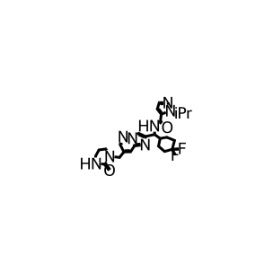 CC(C)n1nccc1C(=O)NC(c1cn2ncc(CN3CCCNC3=O)cc2n1)C1CCC(F)(F)CC1